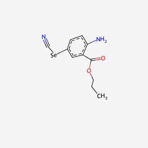 CCCOC(=O)c1cc([Se]C#N)ccc1N